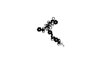 CN(CCc1ccc(NC(=O)C2=C(COC(=O)c3ccccc3)SCN2NC(=O)c2cc(=O)c3ccccc3o2)cc1)Cc1ccc2c(cnn2C)c1